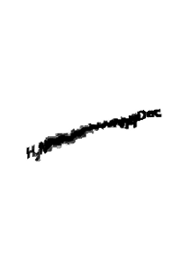 CCCCCCCCCCCCNCCCCCCCCCCCCCCCCN